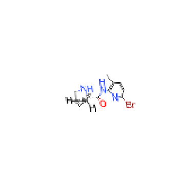 Cc1ccc(Br)nc1NC(=O)[C@H]1NC[C@H]2C[C@H]21